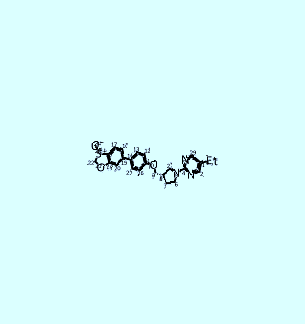 CCc1cnc(N2CC[C@H](COc3ccc(-c4ccc5c(c4)OC[S@@+]5[O-])cc3)C2)nc1